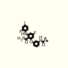 CN(C)C(=O)Nc1cccc(Oc2cc(F)cc(Nc3ccc(I)cc3F)c2C(N)=O)c1